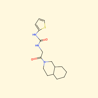 O=C(NCC(=O)N1CCC2CCCCC2C1)Nc1cccs1